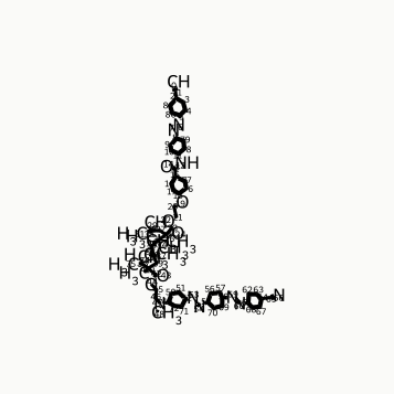 C#Cc1ccc(/N=N/c2ccc(NC(=O)c3ccc(OCCOC(=O)C(C)(CC(C)(C)C)C(C)(C)CC(C)(C)CC(C)(C(=O)OCCN(C)c4ccc(/N=N/c5ccc(/N=N/c6ccc(C#N)cc6)cc5)cc4)C(C)C)cc3)cc2)cc1